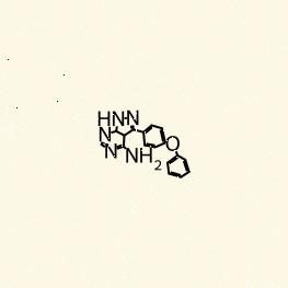 NC1=NC=NC2NN=C(c3ccc(Oc4ccccc4)cc3)C12